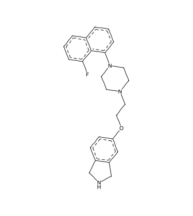 Fc1cccc2cccc(N3CCN(CCOc4ccc5c(c4)CNC5)CC3)c12